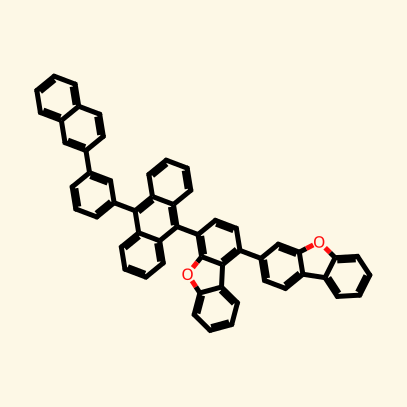 c1cc(-c2ccc3ccccc3c2)cc(-c2c3ccccc3c(-c3ccc(-c4ccc5c(c4)oc4ccccc45)c4c3oc3ccccc34)c3ccccc23)c1